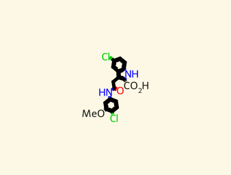 COc1cc(NC(=O)Cc2c(C(=O)O)[nH]c3ccc(Cl)cc23)ccc1Cl